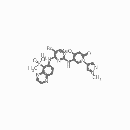 COc1cc(=O)n(-c2cnn(C)c2)cc1Nc1ncc(Br)c(Nc2ccc3nccnc3c2P(C)(C)=O)n1